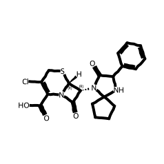 O=C(O)C1=C(Cl)CS[C@@H]2[C@H](N3C(=O)C(c4ccccc4)NC34CCCC4)C(=O)N12